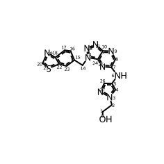 OCCn1cc(Nc2cnc3nnn(Cc4ccc5ncsc5c4)c3n2)cn1